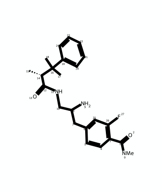 CNC(=O)c1ccc(CC(N)CNC(=O)[C@H](C)C(C)(C)c2ccccc2)cc1F